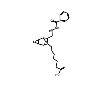 O=C(O)CCCCCCC1C(CNNC(=O)c2ccccc2)C2OC1C1OC21